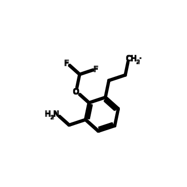 [CH2]CCc1cccc(CN)c1OC(F)F